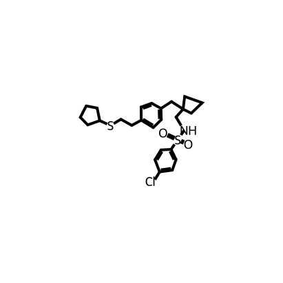 O=S(=O)(NCC1(Cc2ccc(CCSC3CCCC3)cc2)CCC1)c1ccc(Cl)cc1